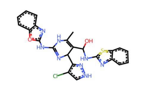 CC1=C(C(O)Nc2nc3ccccc3s2)C(c2n[nH]cc2Cl)N=C(Nc2nc3ccccc3o2)N1